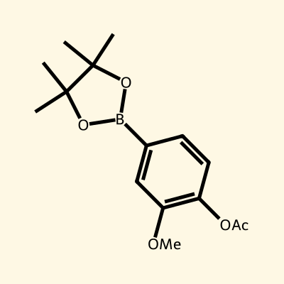 COc1cc(B2OC(C)(C)C(C)(C)O2)ccc1OC(C)=O